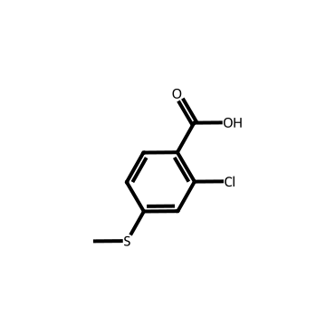 CSc1ccc(C(=O)O)c(Cl)c1